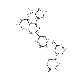 CN1CCN(c2cccc(Nc3cc(-c4nc(N5CCCC5)c5c(C6CC6)cncc5n4)ccn3)c2)CC1